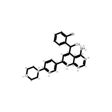 CC(c1ccccc1Br)c1cc(-c2ccc(N3CCOCC3)nc2)nc2ncnc(N)c12